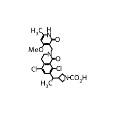 COc1cc(C)[nH]c(=O)c1CN1CCc2c(Cl)cc(C(C)C3CN(C(=O)O)C3)c(Cl)c2C1=O